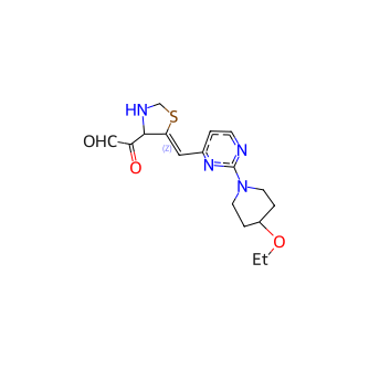 CCOC1CCN(c2nccc(/C=C3\SCNC3C(=O)C=O)n2)CC1